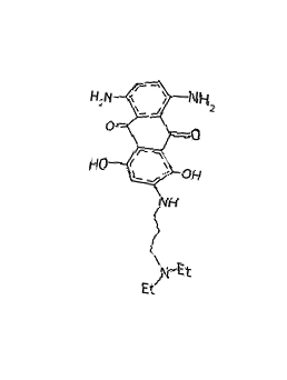 CCN(CC)CCCNc1cc(O)c2c(c1O)C(=O)c1c(N)ccc(N)c1C2=O